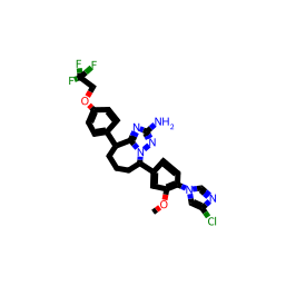 COc1cc(C2CCCC(c3ccc(OCC(F)(F)F)cc3)c3nc(N)nn32)ccc1-n1cnc(Cl)c1